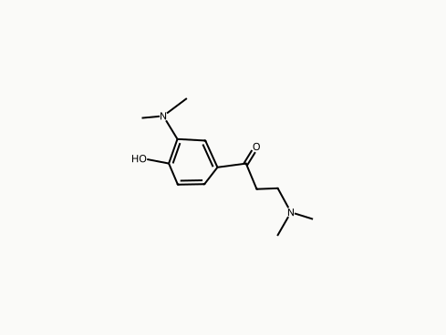 CN(C)CCC(=O)c1ccc(O)c(N(C)C)c1